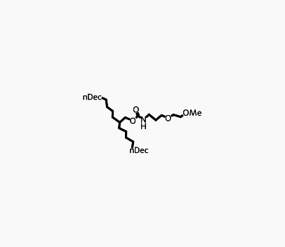 CCCCCCCCCCCCCCC(CCCCCCCCCCCCCC)COC(=O)NCCCOCCOC